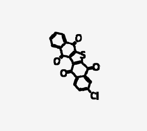 O=c1c2ccccc2c(=O)c2c1sc1c(=O)c3cc(Cl)ccc3c(=O)c12